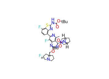 Cc1nc(-c2ccc(F)c3sc(NC(=O)OC(C)(C)C)nc23)c(F)c2nc(OC[C@@]34CCCN3C[C@H](F)C4)nc(N3C[C@H]4CC[C@@H](C3)N4C(=O)OC(C)(C)C)c12